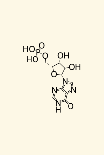 O=c1[nH]cnc2c1ncn2[C@@H]1O[C@H](COP(=O)(O)O)[C@H](O)C1O